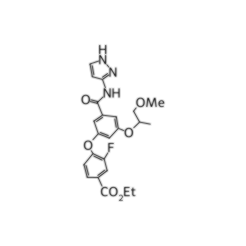 CCOC(=O)c1ccc(Oc2cc(OC(C)COC)cc(C(=O)Nc3cc[nH]n3)c2)c(F)c1